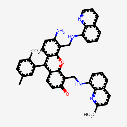 Cc1ccc(C(=O)O)c(-c2c3ccc(=O)c(CNc4cccc5ccc(C(=O)O)nc45)c-3oc3c(CNc4cccc5cccnc45)c(N)ccc23)c1